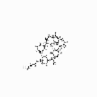 COCCN1CCN(C(=O)c2ccc(-c3c(F)cnc4[nH]c5cnc(-c6cccnc6)cc5c34)cc2)CC1